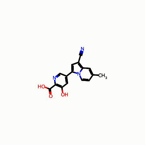 Cc1ccn2c(-c3cnc(C(=O)O)c(O)c3)cc(C#N)c2c1